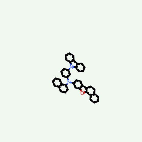 c1cc(N(c2ccc3c(c2)oc2c4ccccc4ccc32)c2cccc3ccccc23)cc(-n2c3ccccc3c3ccccc32)c1